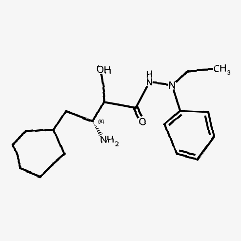 CCN(NC(=O)C(O)[C@H](N)CC1CCCCC1)c1ccccc1